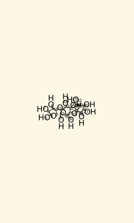 OC[C@@H]1O[C@@H](O)[C@H](O)[C@@H](O)[C@@H]1O[C@@H]1O[C@@H](CO)[C@@H](O[C@@H]2O[C@H](CO)[C@@H](O)[C@H](O)[C@H]2O)[C@H](O)[C@H]1O